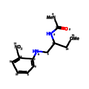 CNC(=O)NC(CNc1ccccc1[N+](=O)[O-])COC